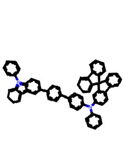 C1=C2C(=CCC1)C1(c3ccccc32)c2ccccc2-c2ccc(N(c3ccccc3)c3ccc(-c4ccc(-c5ccc6c(c5)c5c(n6-c6ccccc6)=CCCC=5)cc4)cc3)cc21